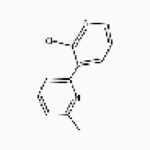 Cc1cccc(-c2cccnc2Cl)n1